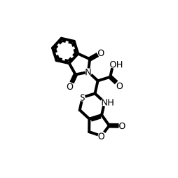 O=C1OCC2=C1NC(C(C(=O)O)N1C(=O)c3ccccc3C1=O)SC2